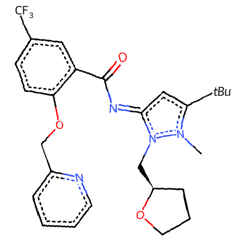 Cn1c(C(C)(C)C)cc(=NC(=O)c2cc(C(F)(F)F)ccc2OCc2ccccn2)n1C[C@H]1CCCO1